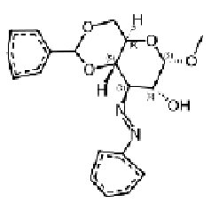 CO[C@H]1O[C@@H]2COC(c3ccccc3)O[C@H]2[C@H](N=Nc2ccccc2)[C@H]1O